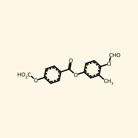 Cc1cc(OC(=O)c2ccc(OC(=O)O)cc2)ccc1OC=O